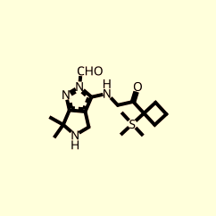 CC1(C)NCc2c1nn(C=O)c2NCC(=O)C1(S(C)(C)C)CCC1